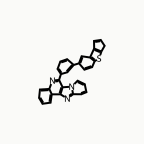 C1=Cc2c(sc3ccc(-c4cccc(-c5nc6ccccc6c6nc7ccccn7c56)c4)cc23)C1